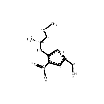 COC[C@@H](C)Nc1ccc(CO)cc1[N+](=O)[O-]